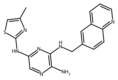 Cc1csc(Nc2cnc(N)c(NCc3ccc4ncccc4c3)n2)n1